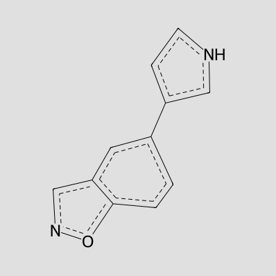 c1cc(-c2ccc3oncc3c2)c[nH]1